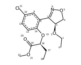 CCO[C@@H]1CON=C1c1cc(Cl)ccc1O[C@@H](CC)C(=O)OC